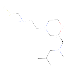 CC(C)CN(C)C[C@H]1CN(CCNCSS)CCO1